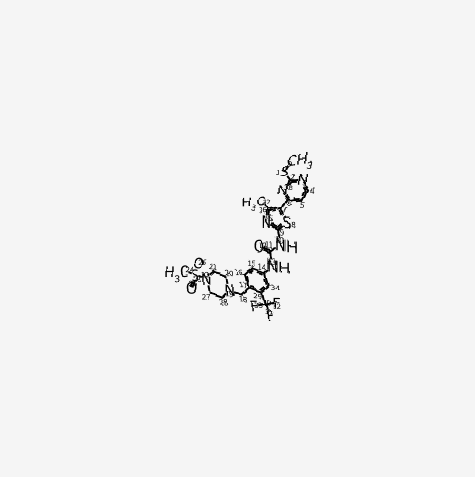 CSc1nccc(-c2sc(NC(=O)Nc3ccc(CN4CCN(S(C)(=O)=O)CC4)c(C(F)(F)F)c3)nc2C)n1